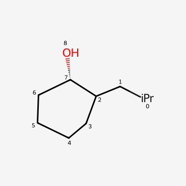 CC(C)CC1CCCC[C@@H]1O